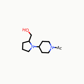 CC(=O)N1CCC(N2CCCC2CO)CC1